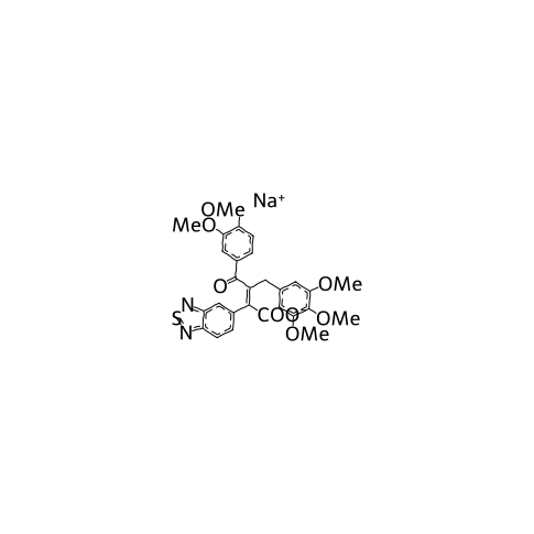 COc1ccc(C(=O)C(Cc2cc(OC)c(OC)c(OC)c2)=C(C(=O)[O-])c2ccc3nsnc3c2)cc1OC.[Na+]